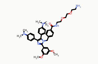 COc1cc(OC)cc(-c2nc(-c3ccc(N(C)C)cc3)c(-c3ccc(N(C)C)cc3)n2Cc2ccc(C(=O)NCCOCCOCCN)cc2)c1